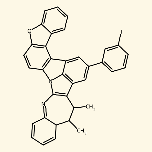 CC1c2c(n3c4ccc5oc6ccccc6c5c4c4cc(-c5cccc(I)c5)cc2c43)N=C2C=CC=CC2C1C